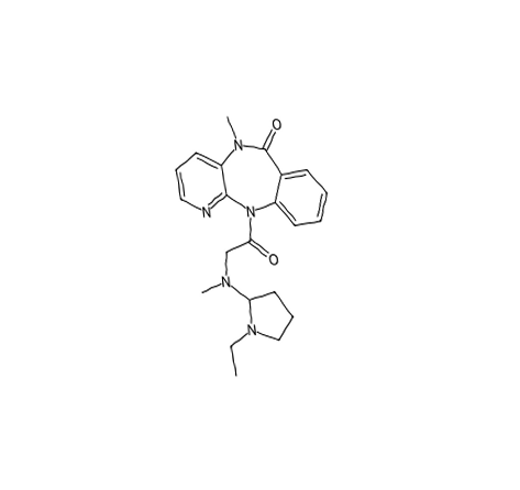 CCN1CCCC1N(C)CC(=O)N1c2ccccc2C(=O)N(C)c2cccnc21